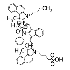 CCCCC[N+]1=C(/C=C/C2=C(N(c3ccccc3)S(C)(=O)=O)C(=C/C=C3/N(CCCCS(=O)(=O)O)c4ccc5ccccc5c4C3(C)C)/c3ccccc32)C(C)(C)c2c1ccc1ccccc21